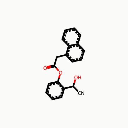 N#CC(O)c1ccccc1OC(=O)Cc1cccc2ccccc12